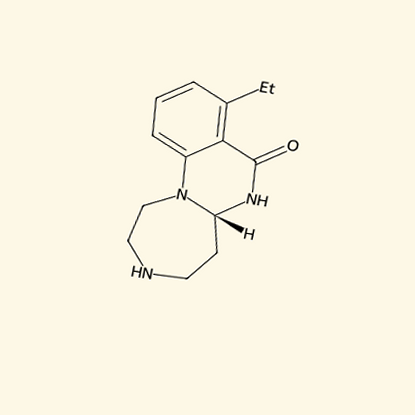 CCc1cccc2c1C(=O)N[C@@H]1CCNCCN21